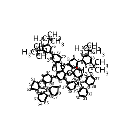 CC(C)(C)c1cc(-c2ccc3c(c2)Oc2c(-c4cccc([Si](c5ccccc5)(c5ccccc5)c5ccccc5)c4)cc(-c4cccc([Si](c5ccccc5)(c5ccccc5)c5ccccc5)c4)c4c2B3c2ccc(-c3cc(C(C)(C)C)cc(C(C)(C)C)c3)cc2O4)cc(C(C)(C)C)c1